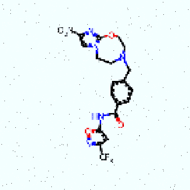 O=C(Nc1cc(C(F)(F)F)no1)c1ccc(CN2CCOc3nc([N+](=O)[O-])cn3CC2)cc1